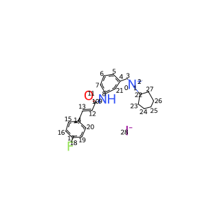 C[N+](C)(Cc1cccc(NC(=O)/C=C/c2ccc(F)cc2)c1)C1CCCCC1.[I-]